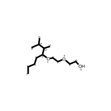 CCCCC(OCCOCCO)C(C)C(C)C